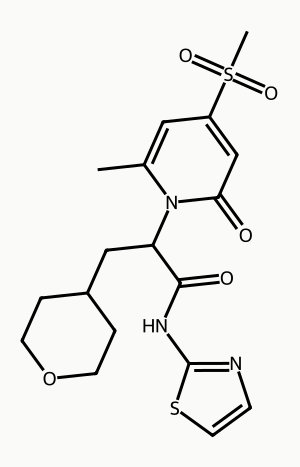 Cc1cc(S(C)(=O)=O)cc(=O)n1C(CC1CCOCC1)C(=O)Nc1nccs1